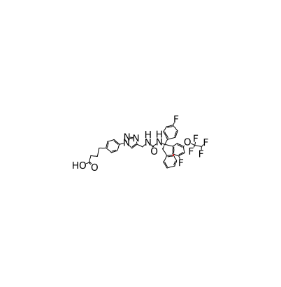 O=C(O)CCCc1ccc(-n2cc(CNC(=O)N[C@](Cc3ccccc3)(c3ccc(F)cc3)c3cc(F)cc(OC(F)(F)C(F)F)c3)nn2)cc1